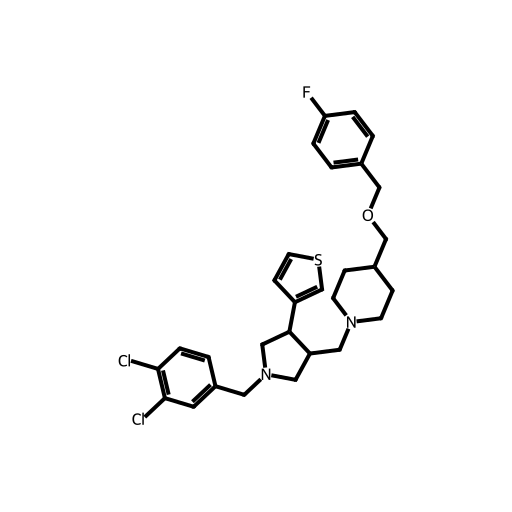 Fc1ccc(COCC2CCN(CC3CN(Cc4ccc(Cl)c(Cl)c4)CC3c3ccsc3)CC2)cc1